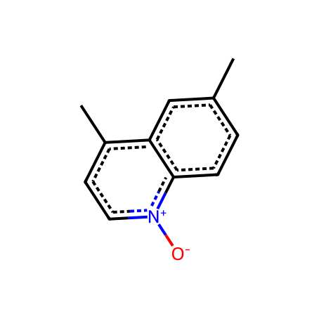 Cc1ccc2c(c1)c(C)cc[n+]2[O-]